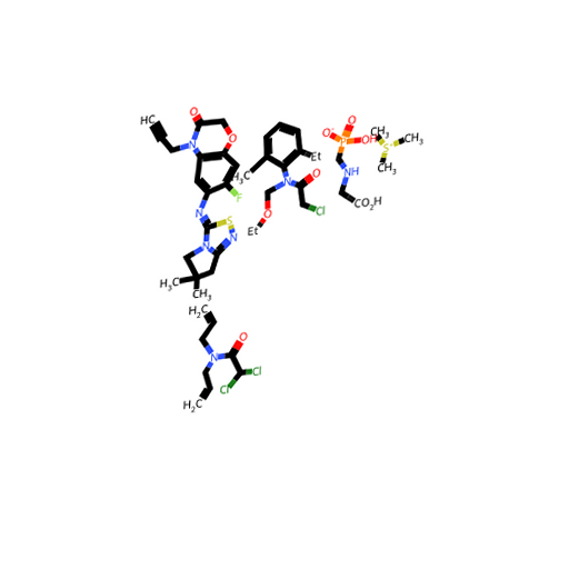 C#CCN1C(=O)COc2cc(F)c(/N=c3\snc4n3CC(C)(C)C4)cc21.C=CCN(CC=C)C(=O)C(Cl)Cl.CCOCN(C(=O)CCl)c1c(C)cccc1CC.C[S+](C)C.O=C(O)CNCP(=O)([O-])O